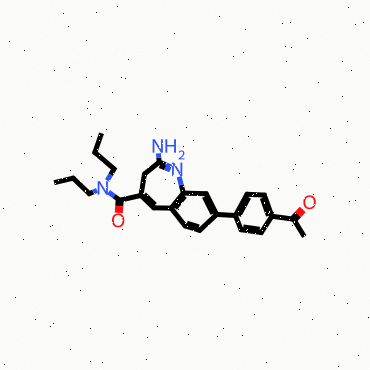 CCCN(CCC)C(=O)C1=Cc2ccc(-c3ccc(C(C)=O)cc3)cc2N=C(N)C1